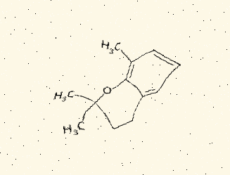 Cc1cccc2c1OC(C)(C)CC2